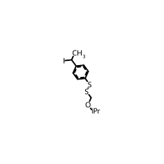 CC(C)OCSSc1ccc(C(C)I)cc1